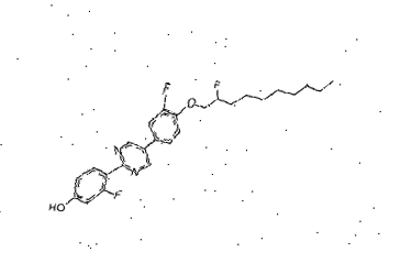 CCCCCCCCC(F)COc1ccc(-c2cnc(-c3ccc(O)cc3F)nc2)cc1F